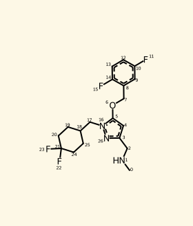 CNCc1cc(OCc2cc(F)ccc2F)n(CC2CCC(F)(F)CC2)n1